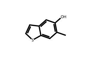 Cc1cc2sccc2cc1O